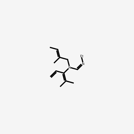 C=CC(=C(C)C)N(/C=N\CC)C/C(C)=C/C